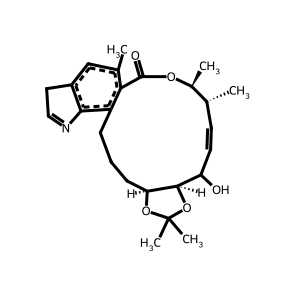 Cc1cc2c(c3c1C(=O)O[C@@H](C)[C@H](C)/C=C\C(O)[C@H]1OC(C)(C)O[C@H]1CCC3)N=CC2